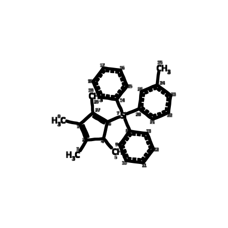 CC1=C(C)C(C)C([Si](c2ccccc2)(c2ccccc2)c2cccc(C)c2)=C1C